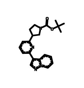 CC(C)(C)OC(=O)N1CCC(c2cccc(-c3cnn4ccccc34)n2)C1